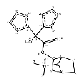 C[N+](C)(C)C1C2CCC1C(OC(=O)C(O)(c1cccs1)c1cccs1)C2